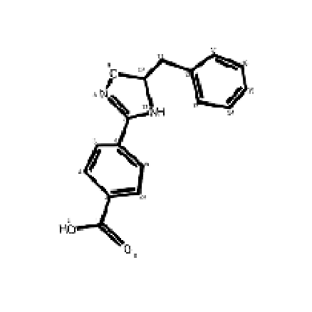 O=C(O)c1ccc(C2=NOC(Cc3ccccc3)N2)cc1